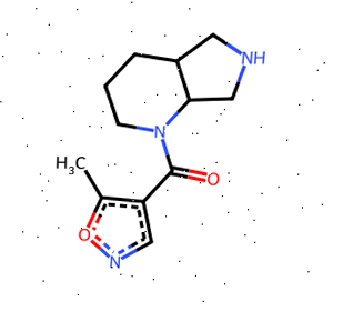 Cc1oncc1C(=O)N1CCCC2CNCC21